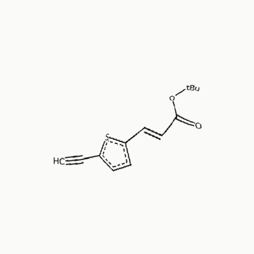 C#Cc1ccc(C=CC(=O)OC(C)(C)C)s1